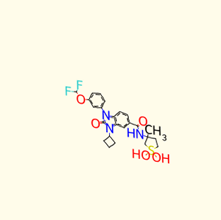 CC1(NC(=O)c2ccc3c(c2)n(C2CCC2)c(=O)n3-c2cccc(OC(F)F)c2)CCS(O)(O)C1